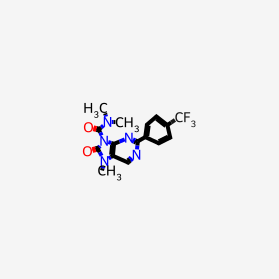 CN(C)C(=O)n1c(=O)n(C)c2cnc(-c3ccc(C(F)(F)F)cc3)nc21